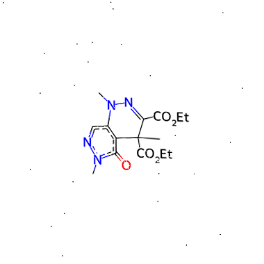 CCOC(=O)C1=NN(C)c2cnn(C)c(=O)c2C1(C)C(=O)OCC